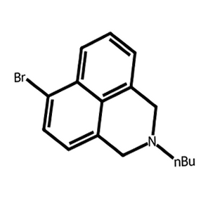 CCCCN1Cc2cccc3c(Br)ccc(c23)C1